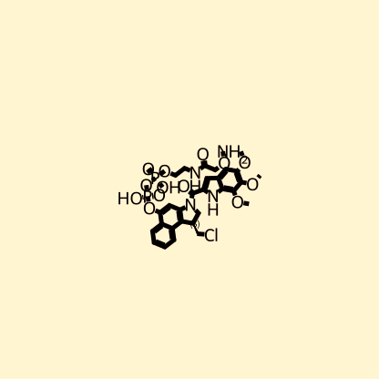 COc1cc2cc(C(=O)N3C[C@@H](CCl)c4c3cc(OP(=O)(O)OP(=O)(O)OCCNC(=O)CON)c3ccccc43)[nH]c2c(OC)c1OC